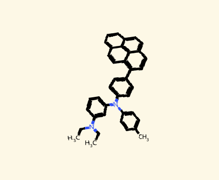 CCN(CC)c1cccc(N(c2ccc(C)cc2)c2ccc(-c3ccc4ccc5cccc6ccc3c4c56)cc2)c1